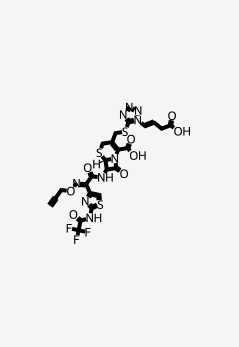 C#CCO/N=C(/C(=O)NC1C(=O)N2C(C(=O)O)=C(CSc3nnnn3/C=C/CC(=O)O)CS[C@H]12)c1csc(NC(=O)C(F)(F)F)n1